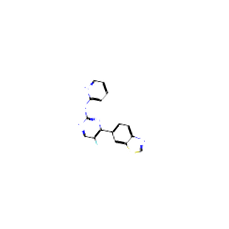 Fc1cnc(Nc2cc[c]cn2)nc1-c1ccc2ncsc2c1